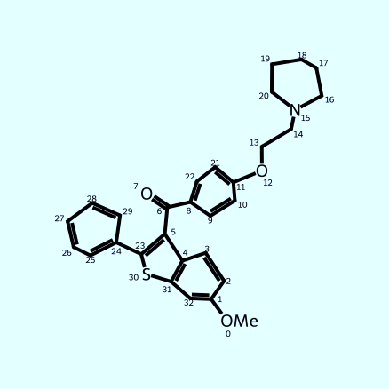 COc1ccc2c(C(=O)c3ccc(OCCN4CCCCC4)cc3)c(-c3ccccc3)sc2c1